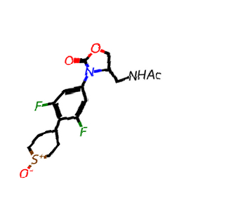 CC(=O)NCC1COC(=O)N1c1cc(F)c(C2CC[S+]([O-])CC2)c(F)c1